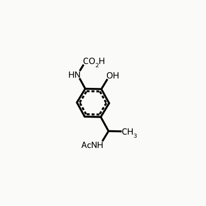 CC(=O)NC(C)c1ccc(NC(=O)O)c(O)c1